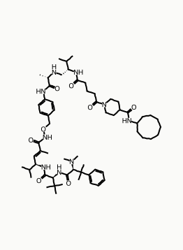 C/C(=C\[C@@H](NC(=O)[C@@H](NC(=O)[C@@H](N(C)C)C(C)(C)c1ccccc1)C(C)(C)C)C(C)C)C(=O)NOCc1ccc(NC(=O)[C@H](C)NC[C@@H](NC(=O)CCCC(=O)N2CCC(C(=O)NC3CCCCCCCC3)CC2)C(C)C)cc1